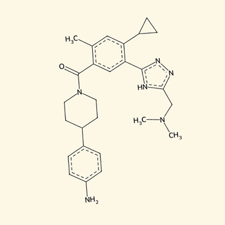 Cc1cc(C2CC2)c(-c2nnc(CN(C)C)[nH]2)cc1C(=O)N1CCC(c2ccc(N)cc2)CC1